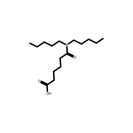 CCCCCN(CCCCC)C(=O)CCCCC(=O)O